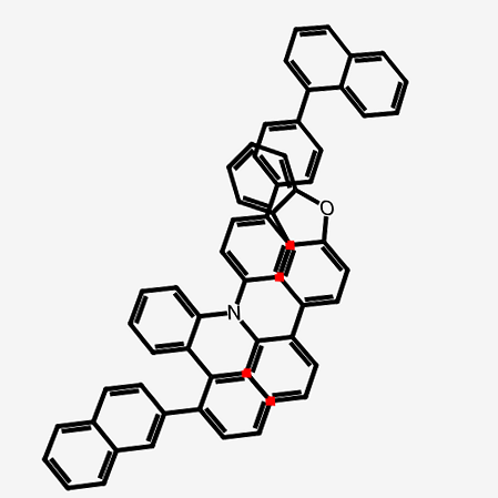 c1ccc(-c2ccccc2N(c2ccc(-c3ccc(-c4cccc5ccccc45)cc3)cc2)c2ccccc2-c2ccc3oc4ccccc4c3c2)c(-c2ccc3ccccc3c2)c1